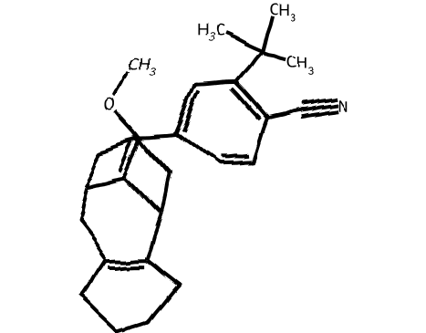 CO/C(=C1\C2CCCC1C1=C(CCCC1)C2)c1ccc(C#N)c(C(C)(C)C)c1